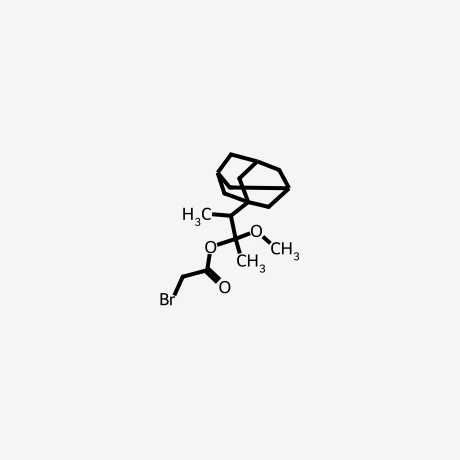 COC(C)(OC(=O)CBr)C(C)C12CC3CC(CC(C3)C1)C2